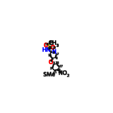 CSc1cc(Oc2ccnc(NS(C)(=O)=O)c2)ccc1[N+](=O)[O-]